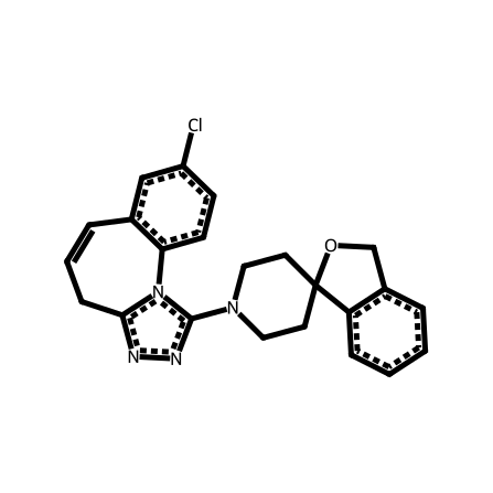 Clc1ccc2c(c1)C=CCc1nnc(N3CCC4(CC3)OCc3ccccc34)n1-2